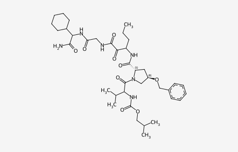 CCCC(NC(=O)[C@@H]1C[C@@H](OCc2ccccc2)CN1C(=O)C(NC(=O)OCC(C)C)C(C)C)C(=O)C(=O)NCC(=O)NC(C(N)=O)C1CCCCC1